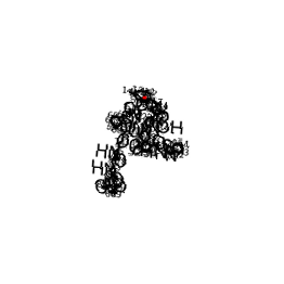 COCCN(CCOC12CC3(C)CC(C)(CC(Cn4ncc(-c5ccc(N6CCc7c(OC)ccc(C(=O)Nc8nc9ccccc9s8)c7C6)nc5C(=O)O)c4C)(C3)C1)C2)C(=O)OCc1cc[c]cc1OCCOCCNC(=O)CCNC(=O)CN1C(=O)C=CC1=O